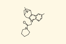 Cc1ccc2c(c1)c1c(n2CC(=O)N2CCCCC2)CC2CCC1N2C